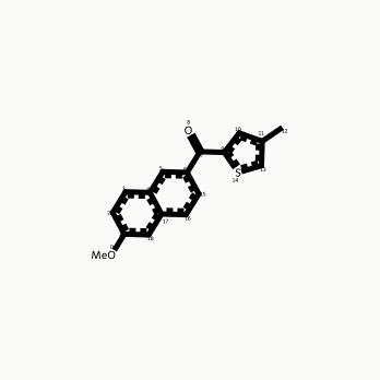 COc1ccc2cc(C(=O)c3cc(C)cs3)ccc2c1